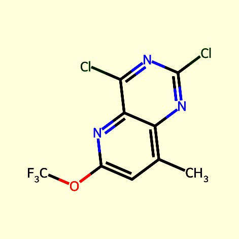 Cc1cc(OC(F)(F)F)nc2c(Cl)nc(Cl)nc12